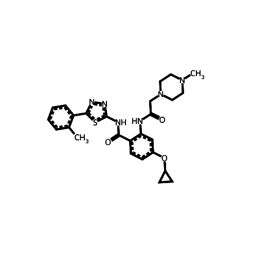 Cc1ccccc1-c1nnc(NC(=O)c2ccc(OC3CC3)cc2NC(=O)CN2CCN(C)CC2)s1